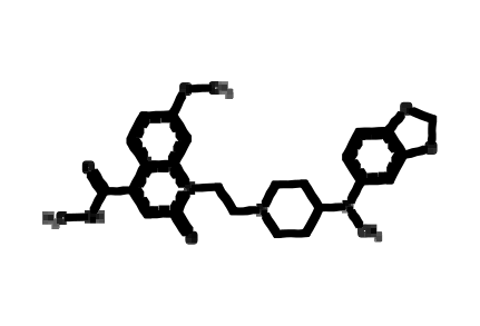 CNC(=O)c1cc(=O)n(CCN2CCC(N(C)c3ccc4c(c3)OCO4)CC2)c2cc(OC)ccc12